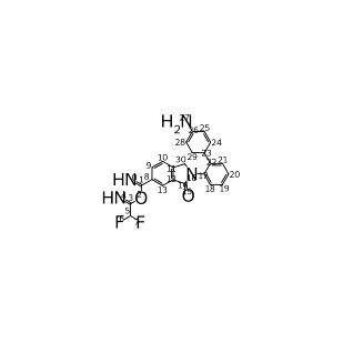 N=C(OC(=N)C(F)F)c1ccc2c(c1)C(=O)N(c1ccccc1C1C=CC(N)=CC1)C2